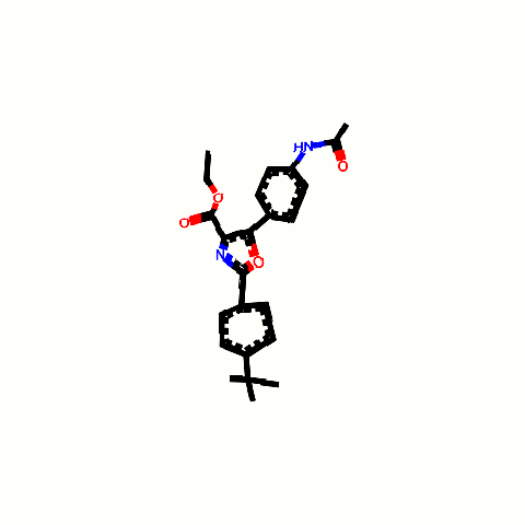 CCOC(=O)c1nc(-c2ccc(C(C)(C)C)cc2)oc1-c1ccc(NC(C)=O)cc1